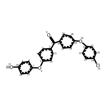 O=C(c1ccc(Oc2ccc(O)cc2)cc1)c1ccc(Oc2ccc(Cl)cc2)cc1